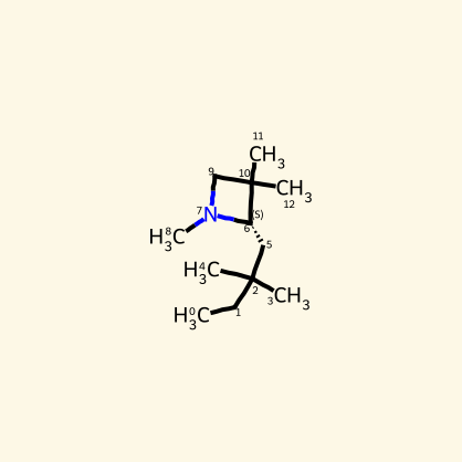 CCC(C)(C)C[C@@H]1N(C)CC1(C)C